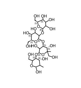 CC1C(O)OC(CO)[C@@H](O[C@@H]2OC(C)(CO)[C@@H](O)[C@H](O[C@H]3O[C@@H](CO)[C@@H](O)C(O)C3O[C@H]3O[C@@H](CO)[C@@H](O)C(O)C3O)C2O)[C@@H]1O